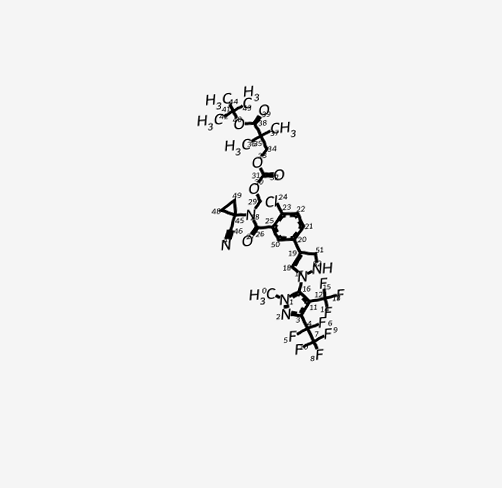 Cn1nc(C(F)(F)C(F)(F)F)c(C(F)(F)F)c1N1C=C(c2ccc(Cl)c(C(=O)N(COC(=O)OCC(C)(C)C(=O)OC(C)(C)C)C3(C#N)CC3)c2)CN1